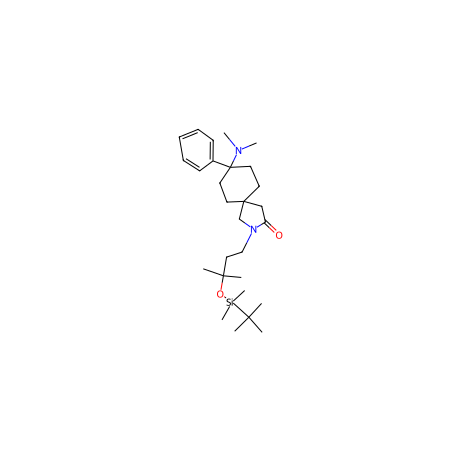 CN(C)C1(c2ccccc2)CCC2(CC1)CC(=O)N(CCC(C)(C)O[Si](C)(C)C(C)(C)C)C2